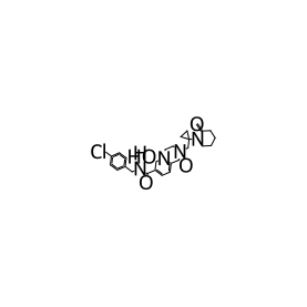 O=C(NCc1ccc(Cl)cc1)C1=CC=C2C(=O)N(CC3(N4CCCCC4=O)CC3)CCN2C1O